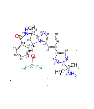 CC(C)(N)c1ncc(-c2ccc3nc4n(c3c2)[C@@H]2C[C@@]4(C)NC(=O)c3cccc(OC(F)F)c32)cn1